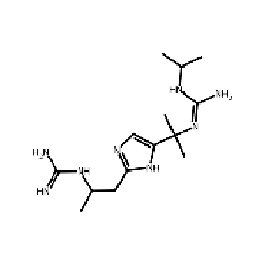 CC(C)N/C(N)=N\C(C)(C)c1cnc(CC(C)NC(=N)N)[nH]1